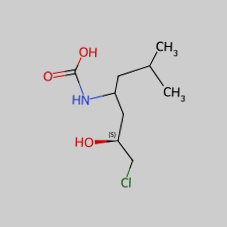 CC(C)CC(C[C@H](O)CCl)NC(=O)O